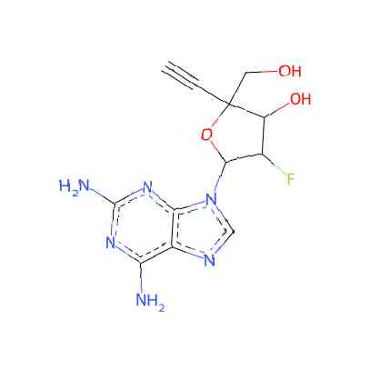 C#CC1(CO)OC(n2cnc3c(N)nc(N)nc32)C(F)C1O